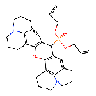 C=CCOP(=O)(OCC=C)C1c2cc3c4c(c2Oc2c1cc1c5c2CCCN5CCC1)CCCN4CCC3